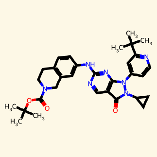 CC(C)(C)OC(=O)N1CCc2ccc(Nc3ncc4c(=O)n(C5CC5)n(-c5ccnc(C(C)(C)C)c5)c4n3)cc2C1